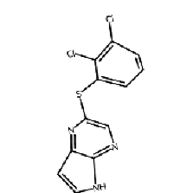 Clc1cccc(Sc2cnc3[nH]ccc3n2)c1Cl